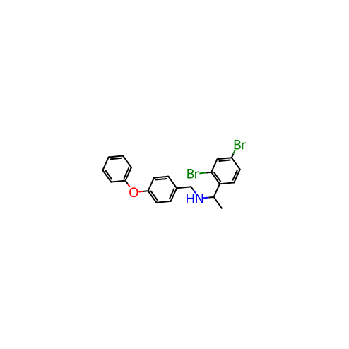 CC(NCc1ccc(Oc2ccccc2)cc1)c1ccc(Br)cc1Br